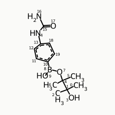 CC(C)(O)C(C)(C)OB(O)c1ccc(NC(N)=O)cc1